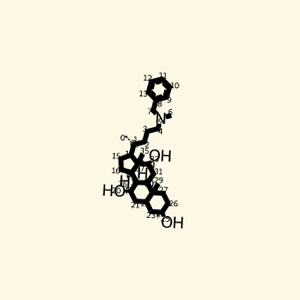 C[C@H](CCCN(C)Cc1ccccc1)C1CC[C@H]2C3[C@H](O)CC4C[C@H](O)CCC4(C)[C@H]3C[C@H](O)C12C